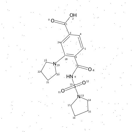 O=C(O)c1ccc(C(=O)NS(=O)(=O)N2CCCC2)c(N2CCCC2)c1